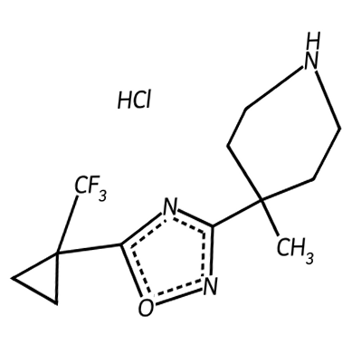 CC1(c2noc(C3(C(F)(F)F)CC3)n2)CCNCC1.Cl